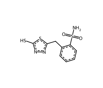 NS(=O)(=O)c1ccccc1Cc1nnc(S)s1